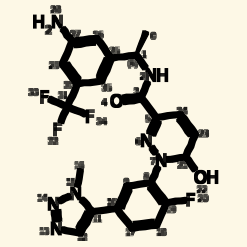 C[C@@H](NC(=O)C1=NN(c2cc(-c3cnnn3C)ccc2F)C(O)C=C1)c1cc(N)cc(C(F)(F)F)c1